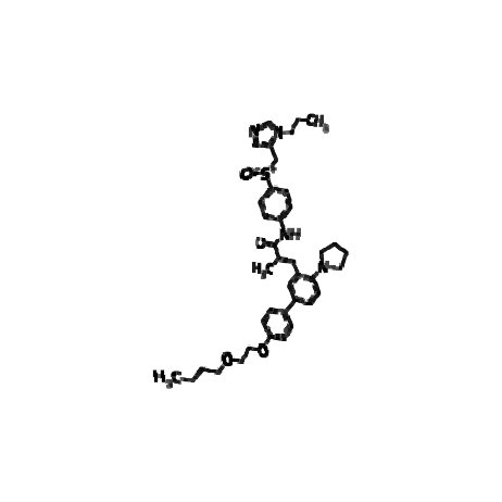 CCCCOCCOc1ccc(-c2ccc(N3CCCC3)c(/C=C(\C)C(=O)Nc3ccc([S@@+]([O-])Cc4cncn4CCC)cc3)c2)cc1